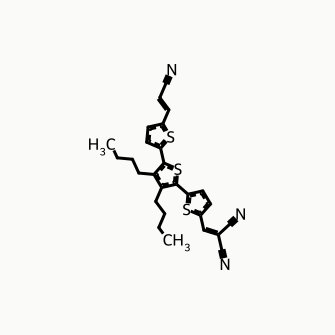 CCCCc1c(-c2ccc(C=C(C#N)C#N)s2)sc(-c2ccc(/C=C/C#N)s2)c1CCCC